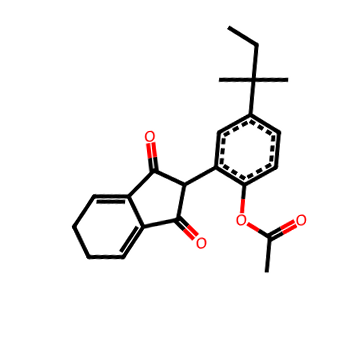 CCC(C)(C)c1ccc(OC(C)=O)c(C2C(=O)C3=CCCC=C3C2=O)c1